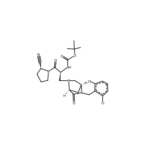 CC(C)(C)OC(=O)N[C@@H](CN1C[C@@H]2C[C@H]1C(=O)N2Cc1c(Cl)cccc1Cl)C(=O)N1CCC[C@H]1C#N